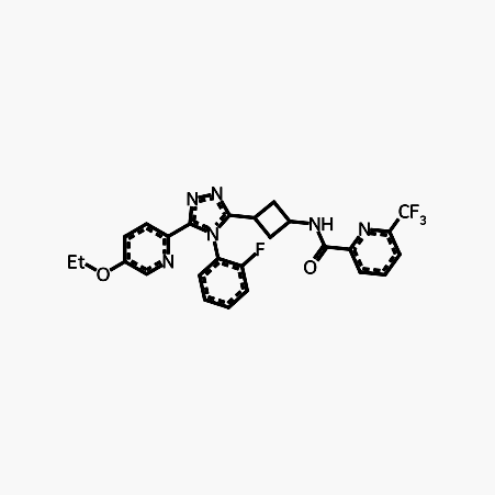 CCOc1ccc(-c2nnc(C3CC(NC(=O)c4cccc(C(F)(F)F)n4)C3)n2-c2ccccc2F)nc1